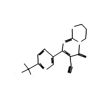 CC(C)(C)c1ccc(-c2nc3n(c(=O)c2C#N)CCCO3)cn1